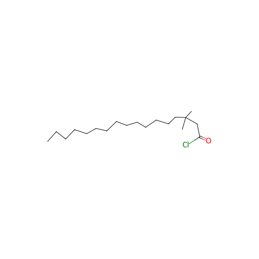 CCCCCCCCCCCCCCC(C)(C)CC(=O)Cl